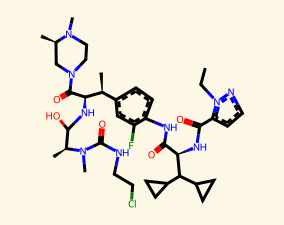 CCn1nccc1C(=O)N[C@H](C(=O)Nc1ccc([C@H](C)[C@@H](NC(O)[C@H](C)N(C)C(=O)NCCCl)C(=O)N2CCN(C)[C@H](C)C2)cc1F)C(C1CC1)C1CC1